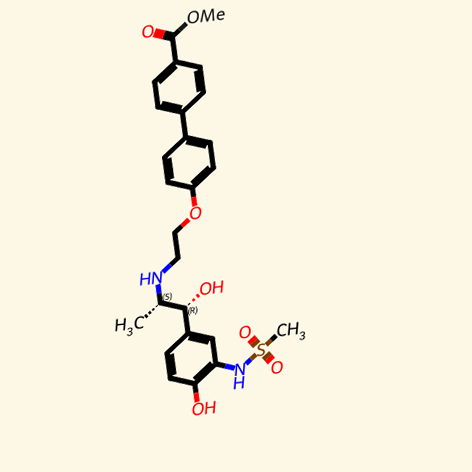 COC(=O)c1ccc(-c2ccc(OCCN[C@@H](C)[C@H](O)c3ccc(O)c(NS(C)(=O)=O)c3)cc2)cc1